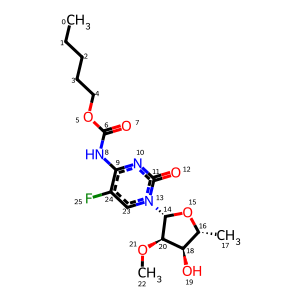 CCCCCOC(=O)Nc1nc(=O)n([C@@H]2O[C@H](C)[C@@H](O)[C@H]2OC)cc1F